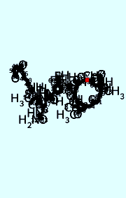 COc1cc2cc(c1Cl)N(C)C(=O)C[C@H](OC(=O)Nc1ccc(NC(=O)[C@H](CCCNC(N)=O)NC(=O)[C@@H](NC(=S)NCCCCN3C(=O)C=CC3=O)C(C)C)cc1C(F)(F)F)C(C)[C@@H](O)[C@H](C)[C@@H]1C[C@@](O)(NC(=O)O1)[C@H](OC)/C=C/C=C(\C)C2